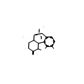 CC(=O)O[C@@]12CCC(=O)[C@@H]3Oc4c(C)ccc5c4[C@@]31CCN(C)C2C5